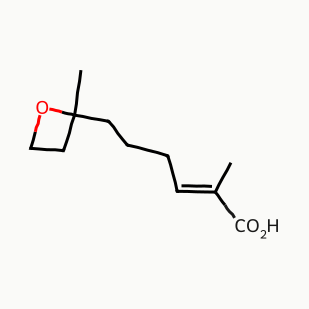 CC(=CCCCC1(C)CCO1)C(=O)O